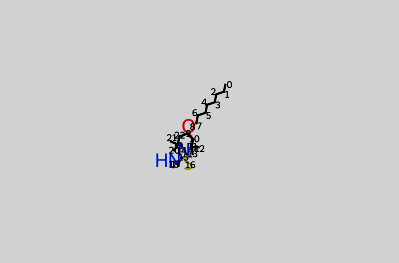 CCCCCCCCOC1CC(C)(C)N(C(=S)NC)C(C)(C)C1